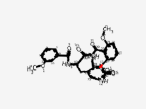 COc1cccc(C(=O)NC(Cc2c[nH]c(=O)nc2NC(=O)c2c(OC)cccc2OC)C(=O)O)c1